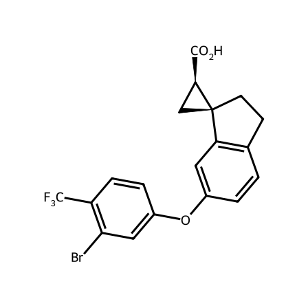 O=C(O)[C@@H]1C[C@]12CCc1ccc(Oc3ccc(C(F)(F)F)c(Br)c3)cc12